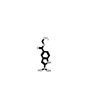 CCOC(=O)c1ccc2[nH]c(B(O)O)cc2c1